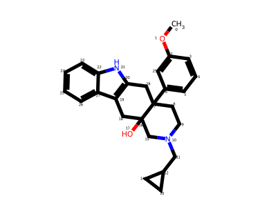 COc1cccc(C23CCN(CC4CC4)CC2(O)Cc2c([nH]c4ccccc24)C3)c1